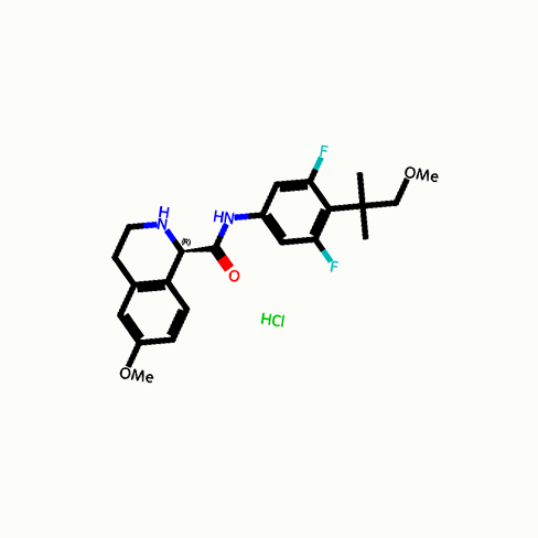 COCC(C)(C)c1c(F)cc(NC(=O)[C@@H]2NCCc3cc(OC)ccc32)cc1F.Cl